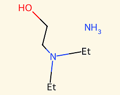 CCN(CC)CCO.N